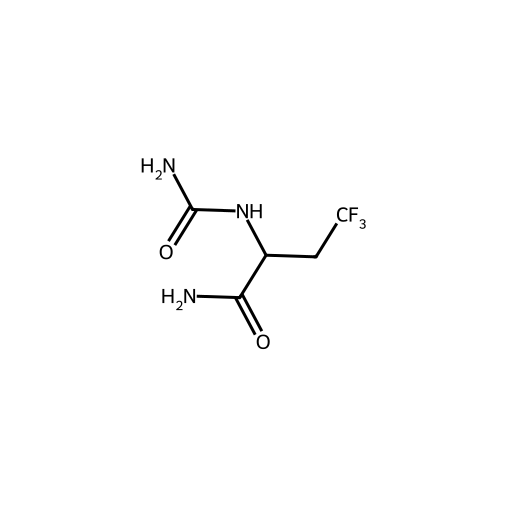 NC(=O)NC(CC(F)(F)F)C(N)=O